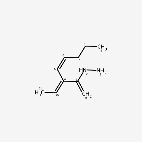 C=C(NN)C(/C=C\CCC)=C/C